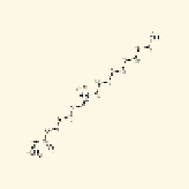 C=CC(=O)OCCOCCNCCCCCCCCCC.Cl